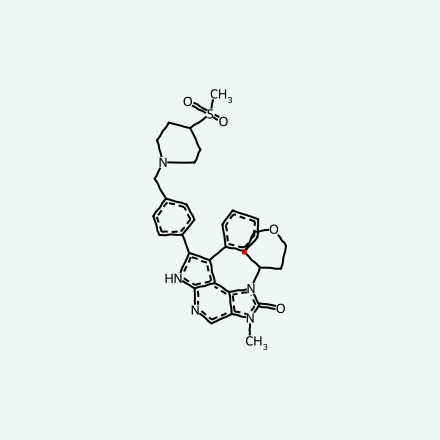 Cn1c(=O)n(C2CCOCC2)c2c3c(-c4ccccc4)c(-c4ccc(CN5CCC(S(C)(=O)=O)CC5)cc4)[nH]c3ncc21